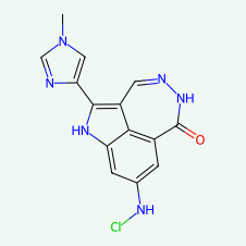 Cn1cnc(-c2[nH]c3cc(NCl)cc4c3c2C=NNC4=O)c1